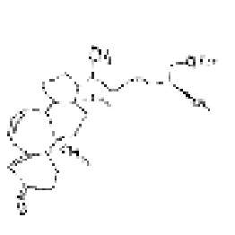 CC[C@@H](C)CCCC(C)[C@H]1CCC2C3C=CC4=CC(=O)CC[C@]4(C)C3CC[C@@]21C